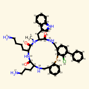 CN1C(=O)C(CCCCN)NC(=O)C(CCCN)NCc2ccccc2Sc2c(ccc(-c3ccccc3)c2Cl)CNC(=O)C1Cc1c[nH]c2ccccc12